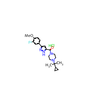 COc1ccc(-c2cc(C(=O)N3CCN(C(C)(C)C4CC4)CC3)[nH]n2)cc1F.Cl